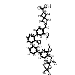 COc1cc(-c2nccc(-c3cccc(-c4ccc(CN(C)C(=O)OC(C)(C)C)c(OC)n4)c3Cl)c2Cl)ccc1CN1CC2(CC(C(=O)O)C2)C1